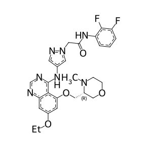 CCOc1cc(OC[C@H]2COCCN2C)c2c(Nc3cnn(CC(=O)Nc4cccc(F)c4F)c3)ncnc2c1